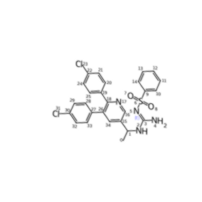 CC(N/C(N)=N/S(=O)(=O)c1ccccc1)c1cnc(-c2ccc(Cl)cc2)c(-c2ccc(Cl)cc2)c1